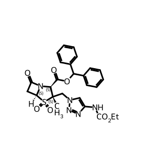 CCOC(=O)Nc1cn(C[C@@]2(C)[C@H](C(=O)OC(c3ccccc3)c3ccccc3)N3C(=O)C[C@@H]3S2(=O)=O)nn1